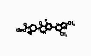 Cc1cc(-c2cc(F)c3c(=O)n(C4CCN(C(=O)OC(C)(C)C)C5(CC5)C4)cnc3c2)nc2cn(C)nc12